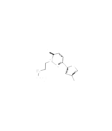 Cc1csc(-c2ccc(=O)n(CCNC(=O)O)n2)c1